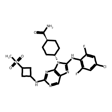 CS(=O)(=O)C1CC(Nc2ncc3nc(Nc4c(F)cc(Cl)cc4F)n([C@H]4CC[C@H](C(N)=O)CC4)c3n2)C1